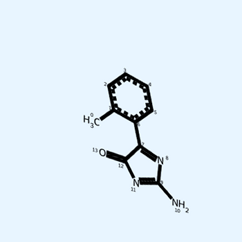 Cc1ccccc1C1=NC(N)=NC1=O